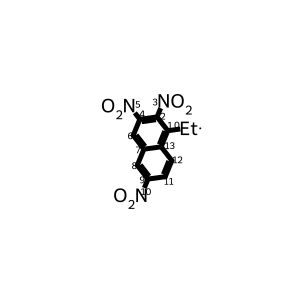 C[CH]c1c([N+](=O)[O-])c([N+](=O)[O-])cc2cc([N+](=O)[O-])ccc12